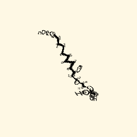 CCCCCCCCCCCCCCCCCCC(=O)CCOCCOP(=O)(O)O